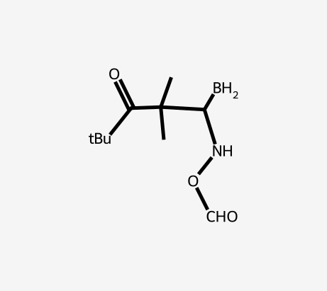 BC(NOC=O)C(C)(C)C(=O)C(C)(C)C